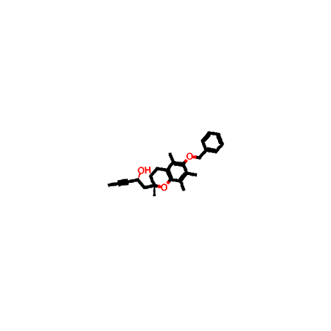 CC#C[C@H](O)C[C@]1(C)CCc2c(C)c(OCc3ccccc3)c(C)c(C)c2O1